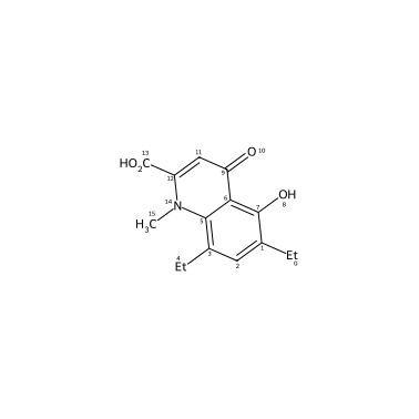 CCc1cc(CC)c2c(c1O)c(=O)cc(C(=O)O)n2C